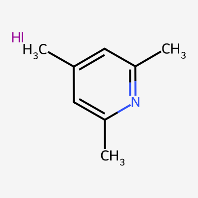 Cc1cc(C)nc(C)c1.I